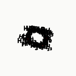 CC(C)C[C@@H]1NC(=O)[C@H](C)NC(=O)CSC[C@@H](C(=O)C(C)(C)C)NC(=O)[C@H](C(C)C)NC(=O)[C@H](Cc2c[nH]c3ccccc23)NC(=O)[C@H](C(C)C)NC(=O)[C@H](Cc2ccc(-c3ccccc3)cc2)NC(=O)[C@@H]2CCCN2C(=O)[C@H](CC(C)C)NC(=O)[C@H](C(C)C)NC(=O)[C@H](Cc2ccccc2)N(C)C(=O)[C@H](Cc2c[nH]cn2)NC1=O